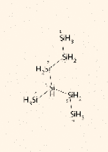 [SiH3][SiH2][SiH2][SiH]([SiH3])[SiH2][SiH3]